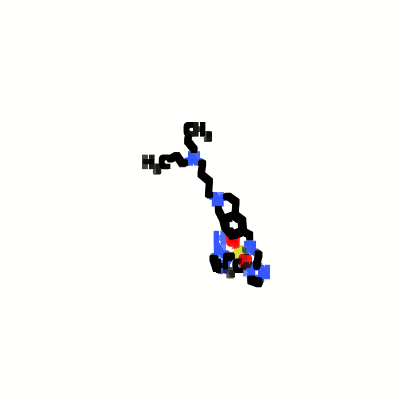 CCCN(CCC)CCCCN1CCc2cc(CN(Cc3nccn3C)S(=O)(=O)c3ncc[nH]3)ccc2C1